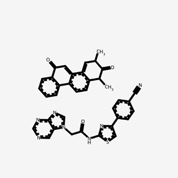 CC1C=c2c(ccc3c2=CC(=O)c2ccccc2-3)C(C)C1=O.N#Cc1ccc(-c2csc(NC(=O)Cn3cnc4ncncc43)n2)cc1